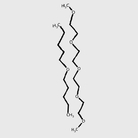 CCCCCOCCCCC.COCCOCCOCCOCCOC